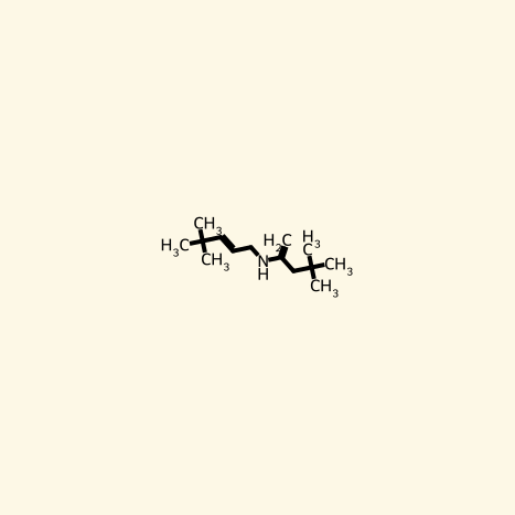 C=C(CC(C)(C)C)NC/C=C/C(C)(C)C